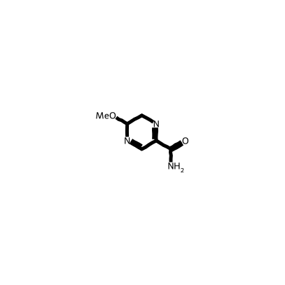 COC1CN=C(C(N)=O)C=N1